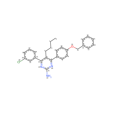 CCCCc1c(-c2ccc(OCc3ccccc3)cc2)nc(N)nc1-c1cccc(Cl)c1